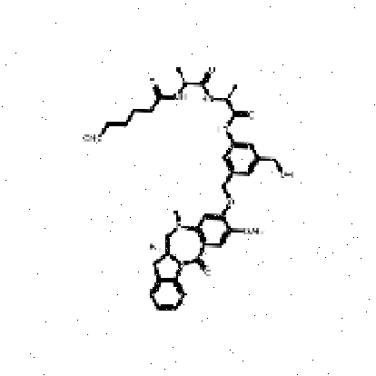 COc1cc2c(cc1OCc1cc(CO)cc(NC(=O)[C@H](C)NC(=O)[C@H](C)NC(=O)CCCCC=O)c1)N(C)C[C@@H]1Cc3ccccc3N1C2=O